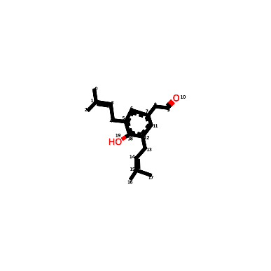 CC(C)=CCc1cc(CC=O)cc(CC=C(C)C)c1O